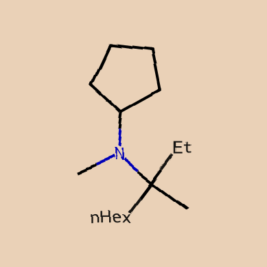 CCCCCCC(C)(CC)N(C)C1CCCC1